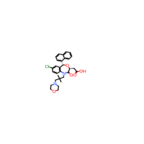 CC(C)(CN1CCOCC1)CN1C(=O)[C@H](CC(=O)O)O[C@@H](c2cccc3ccccc23)c2cc(Cl)ccc21